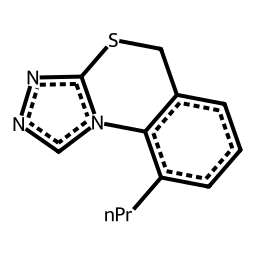 CCCc1cccc2c1-n1cnnc1SC2